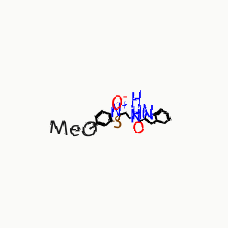 COc1ccc2c(c1)sc(CCNC(=O)c1cc3ccccc3[nH]1)[n+]2[O-]